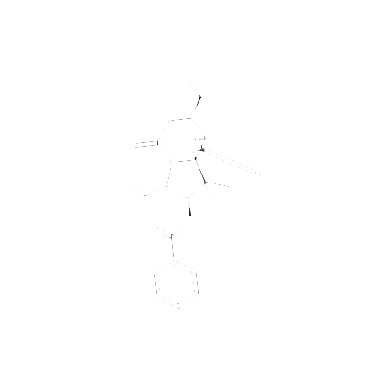 CC1[C@@H](OC(=O)c2ccccc2)C(CO)N2C(=N)N[C@@H](CO)C3NC(=N)N(O)C132